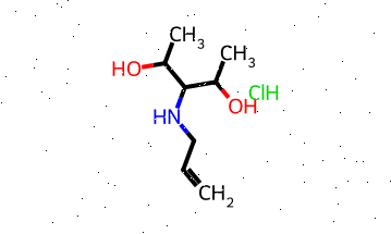 C=CCNC(C(C)O)C(C)O.Cl